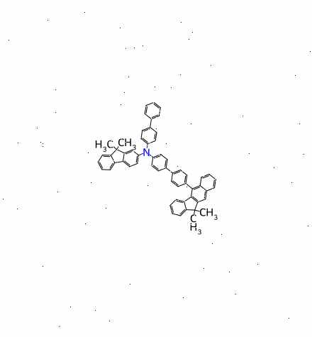 CC1(C)c2ccccc2-c2ccc(N(c3ccc(-c4ccccc4)cc3)c3ccc(-c4ccc(-c5c6c(cc7ccccc57)C(C)(C)c5ccccc5-6)cc4)cc3)cc21